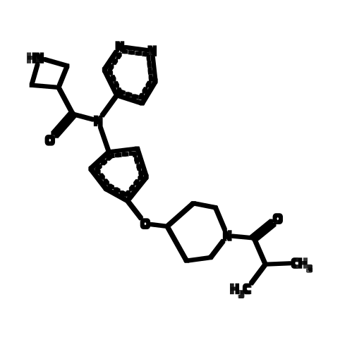 CC(C)C(=O)N1CCC(Oc2ccc(N(C(=O)C3CNC3)c3ccnnc3)cc2)CC1